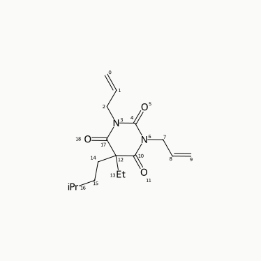 C=CCN1C(=O)N(CC=C)C(=O)C(CC)(CCC(C)C)C1=O